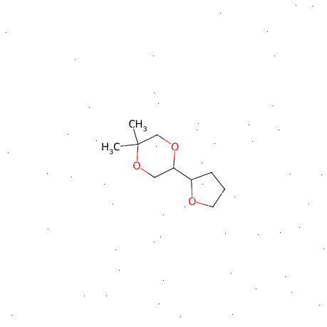 CC1(C)COC(C2CCCO2)CO1